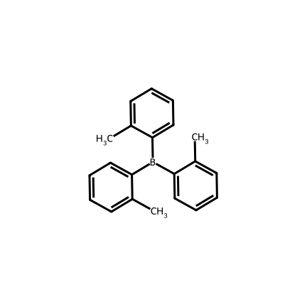 Cc1ccccc1B(c1ccccc1C)c1ccccc1C